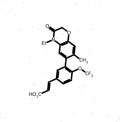 CCN1C(=O)COc2cc(C)c(-c3cc(/C=C/C(=O)O)ccc3OC(F)(F)F)cc21